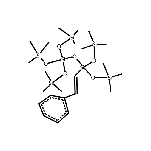 C[Si](C)(C)O[Si](C=Cc1ccccc1)(O[Si](C)(C)C)O[Si](O[Si](C)(C)C)(O[Si](C)(C)C)O[Si](C)(C)C